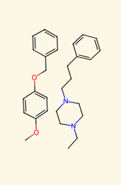 CCN1CCN(CCCc2ccccc2)CC1.COc1ccc(OCc2ccccc2)cc1